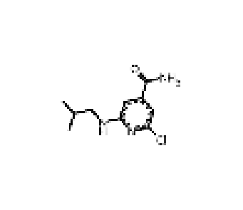 CC(C)CNc1cc(C(N)=O)cc(Cl)n1